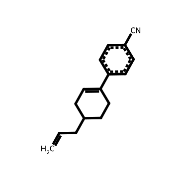 C=CCC1CC=C(c2ccc(C#N)cc2)CC1